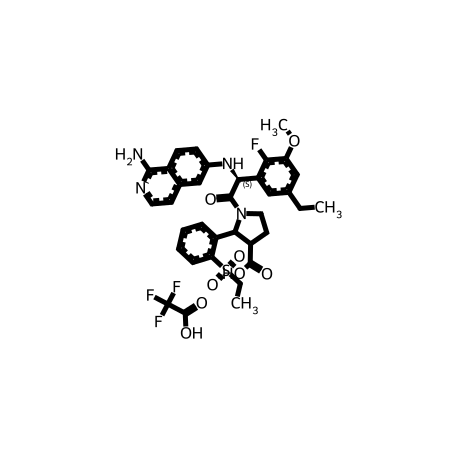 CCc1cc(OC)c(F)c([C@H](Nc2ccc3c(N)nccc3c2)C(=O)N2CCC(C(=O)O)C2c2ccccc2S(=O)(=O)CC)c1.O=C(O)C(F)(F)F